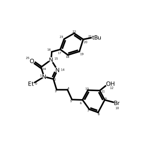 CCn1c(CCCc2ccc(Br)c(O)c2)nn(Cc2ccc(C(C)(C)C)cc2)c1=O